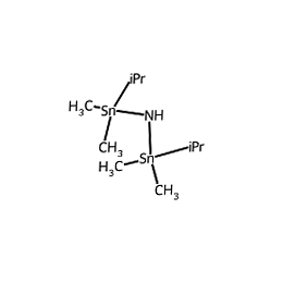 C[CH](C)[Sn]([CH3])([CH3])[NH][Sn]([CH3])([CH3])[CH](C)C